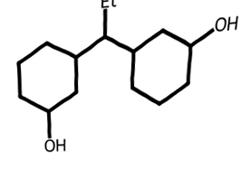 [CH2]CC(C1CCCC(O)C1)C1CCCC(O)C1